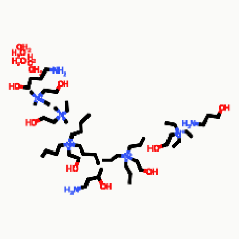 CC(O)CCN.CCCC[N+](CCO)(CCCC)CCCC.CCC[N+](CCC)(CCC)CCO.CC[N+](C)(C)CCO.CC[N+](CC)(CC)CCO.C[N+](C)(C)CCO.NCCCCO.NCCCO.O.O.O.O.O